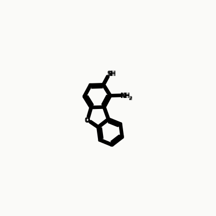 Nc1c(S)ccc2oc3ccccc3c12